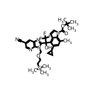 Cc1cc(C2CC2)c(C(O)(c2nc3cc(C#N)cnc3n2COCC[Si](C)(C)C)C(F)(F)F)c2ccn(C(=O)OC(C)(C)C)c12